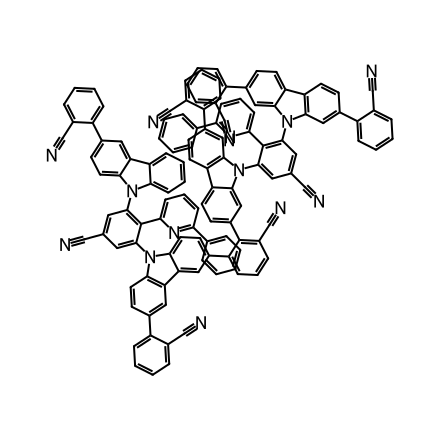 N#Cc1cc(-n2c3ccccc3c3cc(-c4ccccc4C#N)ccc32)c(-c2cccc(-c3ccccc3)n2)c(-n2c3ccc(-c4ccccc4C#N)cc3c3cc(-c4cccc(C#N)c4-c4ccc5c6ccc(-c7ccccc7C#N)cc6n(-c6cc(C#N)cc(-n7c8cc(-c9ccccc9C#N)ccc8c8ccc(-c9ccccc9C#N)cc87)c6-c6cccc(-c7ccccc7)n6)c5c4)ccc32)c1